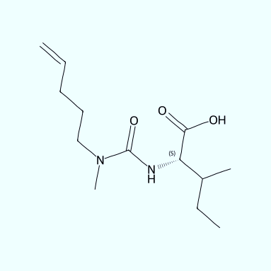 C=CCCCN(C)C(=O)N[C@H](C(=O)O)C(C)CC